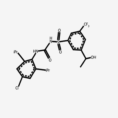 CC(C)c1cc(Cl)cc(C(C)C)c1NC(=O)NS(=O)(=O)c1cc(C(C)O)cc(C(F)(F)F)c1